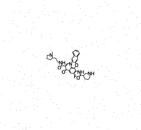 CN1CCCC1CCNC(=O)c1cn2c3c(c(NC(=O)C4CCCNC4)c(F)cc3c1=O)Oc1cc3ccccc3cc1-2